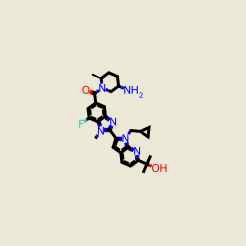 C[C@H]1CCC(N)CN1C(=O)c1cc(F)c2c(c1)nc(-c1cc3ccc(C(C)(C)O)nc3n1CC1CC1)n2C